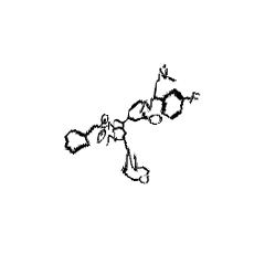 CN(C)CC(c1cccc(F)c1)n1ccc(-c2cn(S(=O)(=O)Cc3ccccc3)c3ncc(N4CCOCC4)cc23)cc1=O